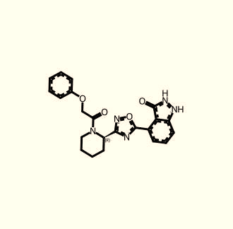 O=C(COc1ccccc1)N1CCCC[C@@H]1c1noc(-c2cccc3[nH][nH]c(=O)c23)n1